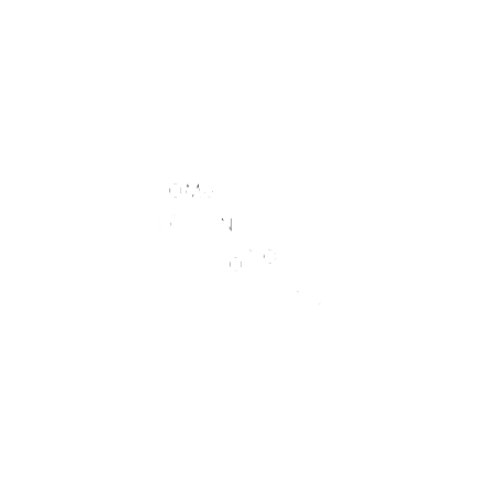 COC(=O)C1CN(CC(=O)OCc2ccccc2)C1